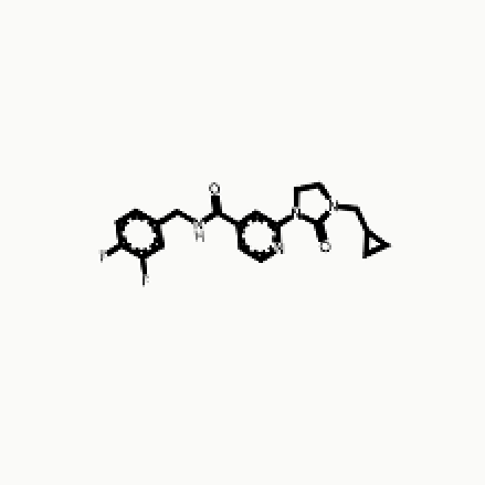 O=C(NCc1ccc(F)c(F)c1)c1ccnc(N2CCN(CC3CC3)C2=O)c1